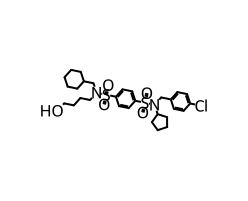 O=S(=O)(c1ccc(S(=O)(=O)N(Cc2ccc(Cl)cc2)C2CCCC2)cc1)N(CCCCO)CC1CCCCC1